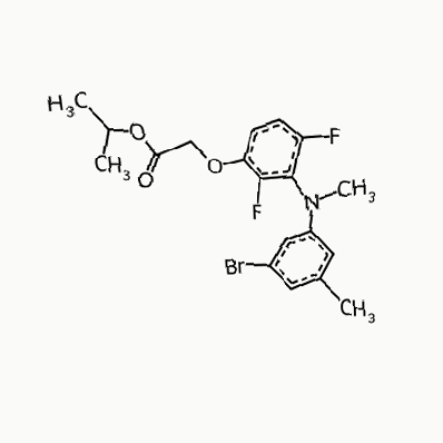 Cc1cc(Br)cc(N(C)c2c(F)ccc(OCC(=O)OC(C)C)c2F)c1